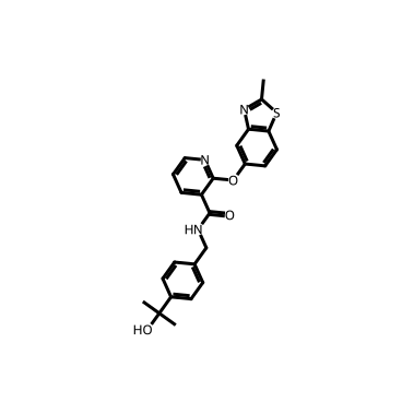 Cc1nc2cc(Oc3ncccc3C(=O)NCc3ccc(C(C)(C)O)cc3)ccc2s1